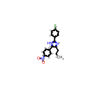 CCCc1nc(-c2ccc(F)cc2)[nH]c1-c1ccc([N+](=O)[O-])cc1